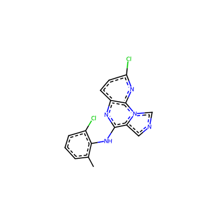 Cc1cccc(Cl)c1Nc1nc2ccc(Cl)nc2n2cncc12